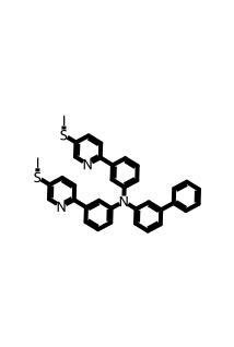 ISc1ccc(-c2cccc(N(c3cccc(-c4ccccc4)c3)c3cccc(-c4ccc(SI)cn4)c3)c2)nc1